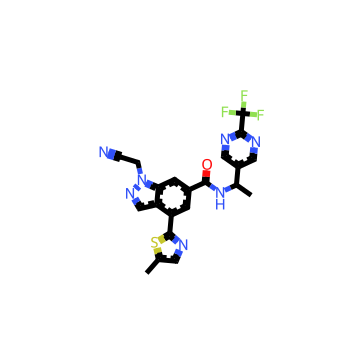 Cc1cnc(-c2cc(C(=O)NC(C)c3cnc(C(F)(F)F)nc3)cc3c2cnn3CC#N)s1